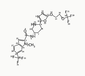 Cn1c(C(=O)N[C@H]2CC[C@H](c3nnc(OCCOC(F)(F)F)o3)NC2)cc2ccc(C(F)(F)F)cc21